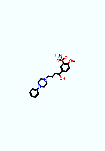 COc1ccc(C(O)CCCN2CCN(c3ccccc3)CC2)cc1S(N)(=O)=O